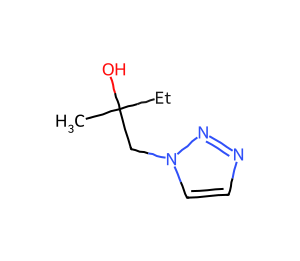 CCC(C)(O)Cn1ccnn1